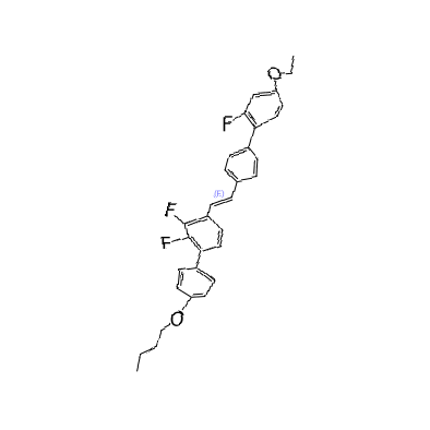 CCCCOc1ccc(-c2ccc(/C=C/c3ccc(-c4ccc(OCC)cc4F)cc3)c(F)c2F)cc1